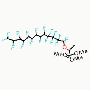 CO[Si](OC)(OC)C(C)OC(F)C(F)(F)C(F)(F)C(F)(F)C(F)C(F)C(F)C(F)C(F)C(F)C(F)C(F)C(F)F